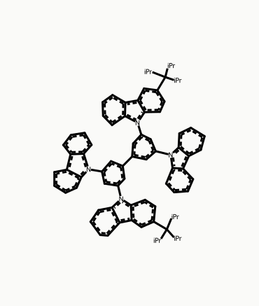 CC(C)C(c1ccc2c(c1)c1ccccc1n2-c1cc(-c2cc(-n3c4ccccc4c4ccccc43)cc(-n3c4ccccc4c4cc(C(C(C)C)(C(C)C)C(C)C)ccc43)c2)cc(-n2c3ccccc3c3ccccc32)c1)(C(C)C)C(C)C